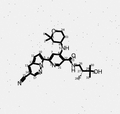 CC1(C)CC(Nc2cc(-c3ccc4cc(C#N)cnn34)ncc2C(=O)NC[C@@H](F)C(C)(C)O)CCO1